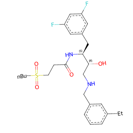 CCCCS(=O)(=O)CCC(=O)N[C@@H](Cc1cc(F)cc(F)c1)[C@H](O)CNCc1cccc(CC)c1